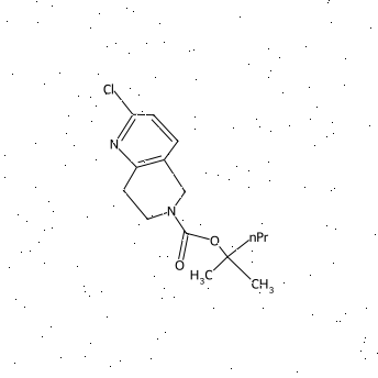 CCCC(C)(C)OC(=O)N1CCc2nc(Cl)ccc2C1